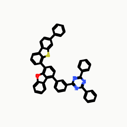 c1ccc(-c2ccc3c(c2)sc2c(-c4ccc(-c5cccc(-c6nc(-c7ccccc7)nc(-c7ccccc7)n6)c5)c5c4oc4ccccc45)cccc23)cc1